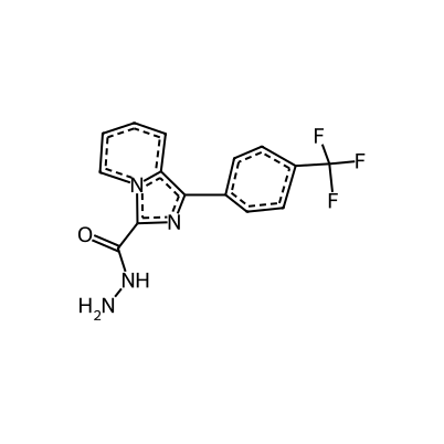 NNC(=O)c1nc(-c2ccc(C(F)(F)F)cc2)c2ccccn12